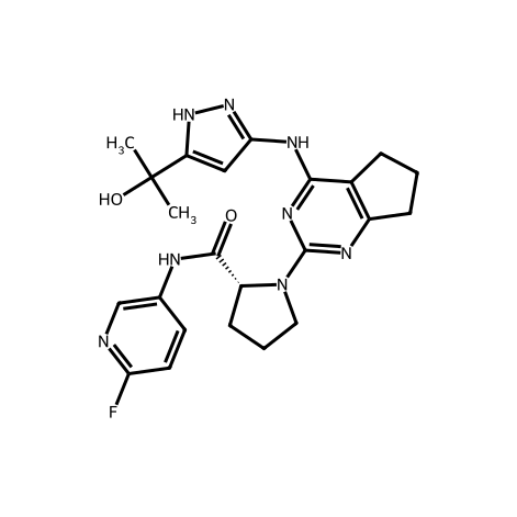 CC(C)(O)c1cc(Nc2nc(N3CCC[C@@H]3C(=O)Nc3ccc(F)nc3)nc3c2CCC3)n[nH]1